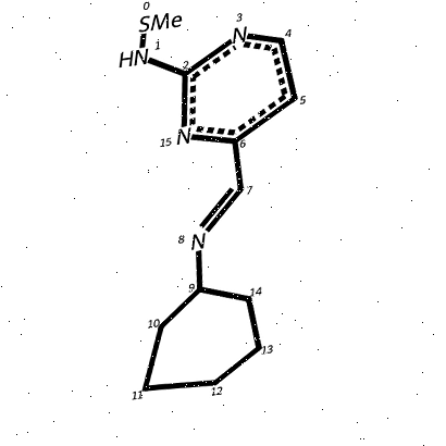 CSNc1nccc(C=NC2CCCCC2)n1